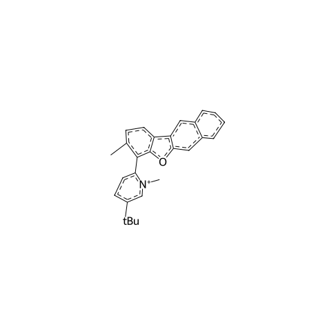 Cc1ccc2c(oc3cc4ccccc4cc32)c1-c1ccc(C(C)(C)C)c[n+]1C